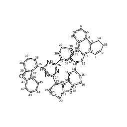 C1=Cc2c(c3ccccc3c3ccc(-c4ccc5sc6cccc(-c7nc(-c8ccccc8)nc(-c8cccc9oc%10ccccc%10c89)n7)c6c5c4)cc23)CC1